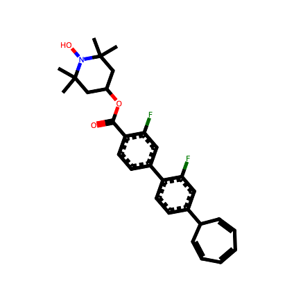 CC1(C)CC(OC(=O)c2ccc(-c3ccc(C4C=CC=CC=C4)cc3F)cc2F)CC(C)(C)N1O